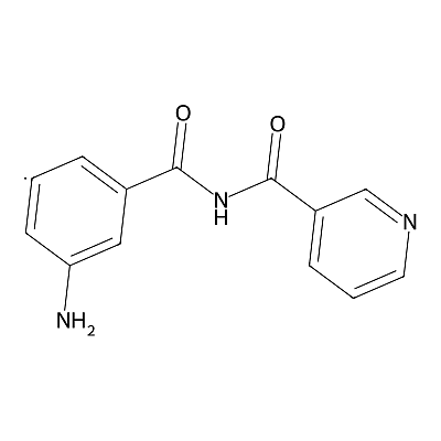 Nc1c[c]cc(C(=O)NC(=O)c2cccnc2)c1